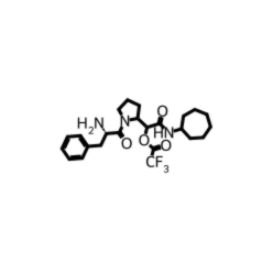 N[C@@H](Cc1ccccc1)C(=O)N1CCCC1C(OC(=O)C(F)(F)F)C(=O)NC1CCCCCC1